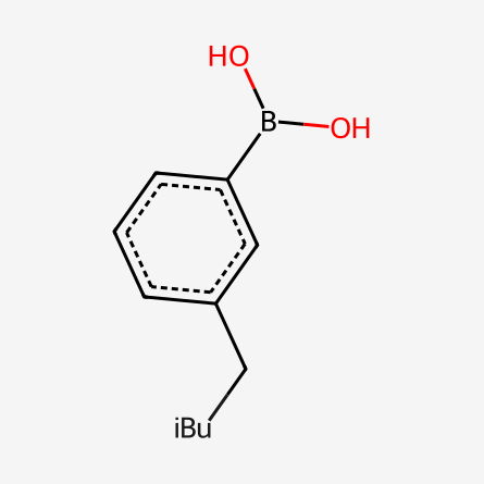 CCC(C)Cc1cccc(B(O)O)c1